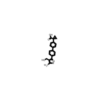 Cc1noc(-c2ccc(-c3ccc(C4(C(=O)O)CC4)cc3)cc2)c1CO